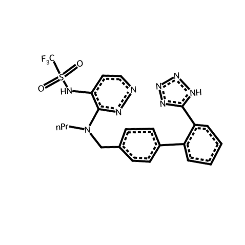 CCCN(Cc1ccc(-c2ccccc2-c2nnn[nH]2)cc1)c1nnccc1NS(=O)(=O)C(F)(F)F